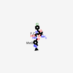 COc1cc(C(=O)NCC(O)(c2cc3c(c(-c4ccc(Cl)cc4)n2)OC[C@]3(C)C(N)=O)C(F)(F)F)cc2cn(C3CC3)nc12